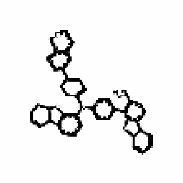 [SiH3]c1ccc2c(c1-c1ccc(N(C3=CC=C(c4ccc5ccccc5c4)CC3)c3cccc4c3OC3CCC=CC43)cc1)SC1C=CC=CC21